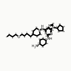 CCCCOCCCCC1CCN(Nc2nc(N[C@H]3CC[C@H](N)CC3)nc3c2ncn3C2CCCC2)CC1